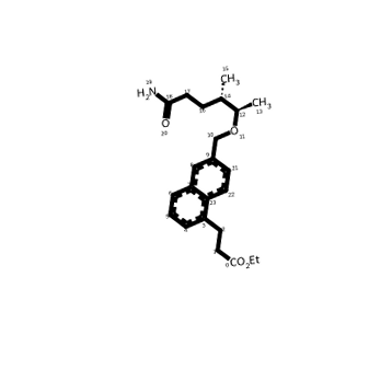 CCOC(=O)CCc1cccc2cc(CO[C@H](C)[C@@H](C)CCC(N)=O)ccc12